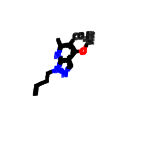 C=CCCn1ncc2c(OCC)c(C(=O)OCC)c(C)nc21